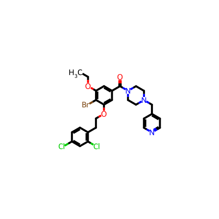 CCOc1cc(C(=O)N2CCN(Cc3ccncc3)CC2)cc(OCCc2ccc(Cl)cc2Cl)c1Br